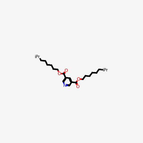 CC(C)CCCCCCOC(=O)c1cncc(C(=O)OCCCCCCC(C)C)c1